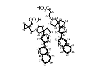 O=C(O)CC1(CN2CCC3(CCn4nc(-c5cnc6ccccc6c5)cc43)C2)CC1.O=C(O)CCN1CCC2(CCn3nc(-c4cnc5ccccc5c4)cc32)C1